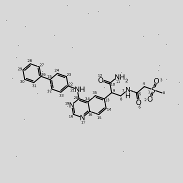 CS(=O)(=O)CC(=O)NCC(C(N)=O)c1ccc2ncnc(Nc3ccc(-c4ccccc4)cc3)c2c1